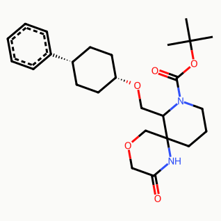 CC(C)(C)OC(=O)N1CCCC2(COCC(=O)N2)C1CO[C@H]1CC[C@@H](c2ccccc2)CC1